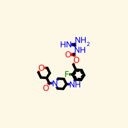 N=C(N)NC(=O)OCc1cccc(NC2CCN(C(=O)C3CCOCC3)CC2)c1F